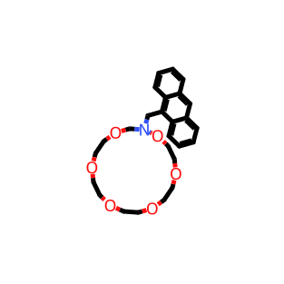 c1ccc2c(CN3COCCOCCOCCOCCOCCO3)c3ccccc3cc2c1